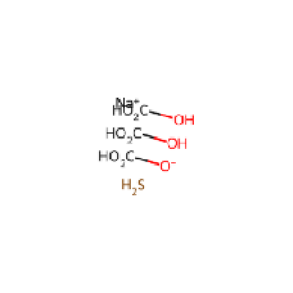 O=C(O)O.O=C(O)O.O=C([O-])O.S.[Na+]